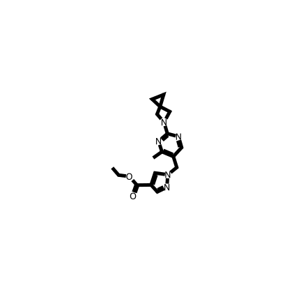 CCOC(=O)c1cnn(Cc2cnc(N3CC4(CC4)C3)nc2C)c1